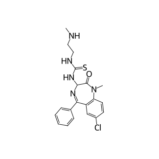 CNCCNC(=S)NC1N=C(c2ccccc2)c2cc(Cl)ccc2N(C)C1=O